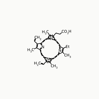 C=CC1=C(C)c2cc3[nH]c(cc4nc(cc5[nH]c(cc1n2)c(C)c5CCC(=O)O)C(CC)=C4C)c(C)c3C=C